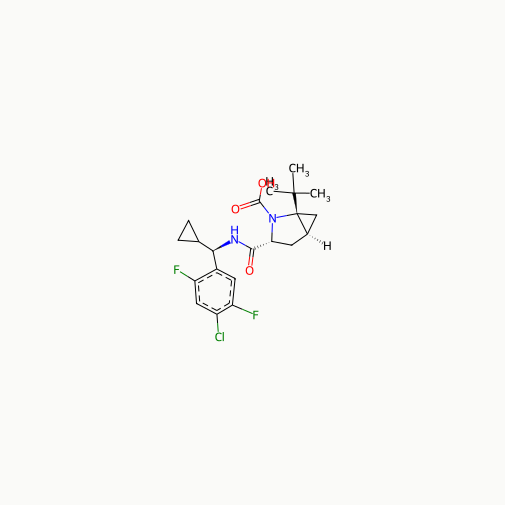 CC(C)(C)[C@@]12C[C@H]1C[C@H](C(=O)N[C@@H](c1cc(F)c(Cl)cc1F)C1CC1)N2C(=O)O